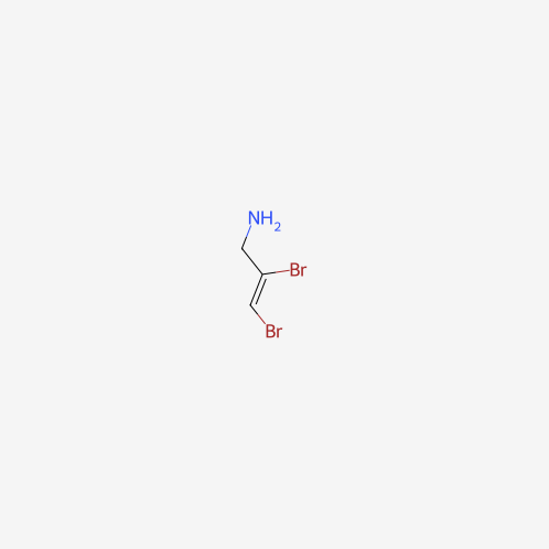 NCC(Br)=CBr